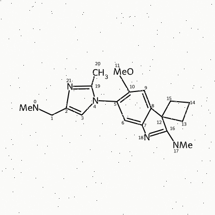 CNCc1cn(-c2cc3c(cc2OC)C2(CCC2)C(NC)=N3)c(C)n1